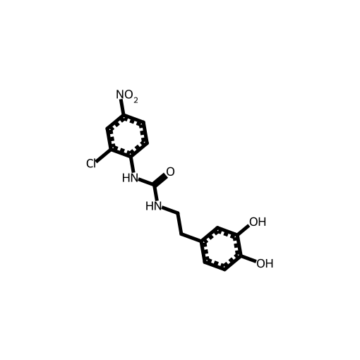 O=C(NCCc1ccc(O)c(O)c1)Nc1ccc([N+](=O)[O-])cc1Cl